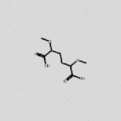 COC(CCC(OC)C(=O)O)C(=O)O